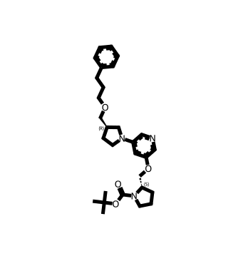 CC(C)(C)OC(=O)N1CCC[C@H]1COc1cncc(N2CC[C@@H](COCCCc3ccccc3)C2)c1